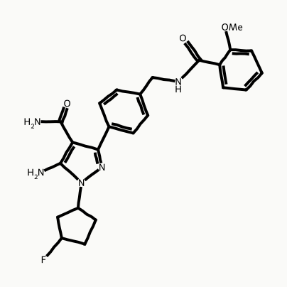 COc1ccccc1C(=O)NCc1ccc(-c2nn(C3CCC(F)C3)c(N)c2C(N)=O)cc1